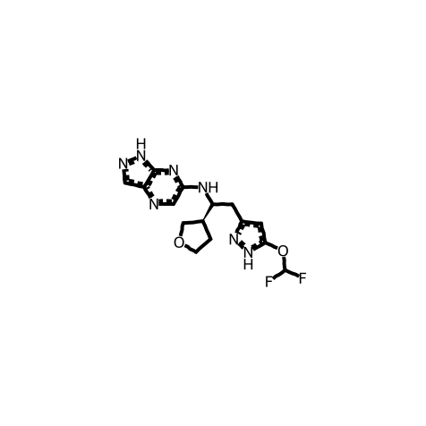 FC(F)Oc1cc(CC(Nc2cnc3cn[nH]c3n2)[C@H]2CCOC2)n[nH]1